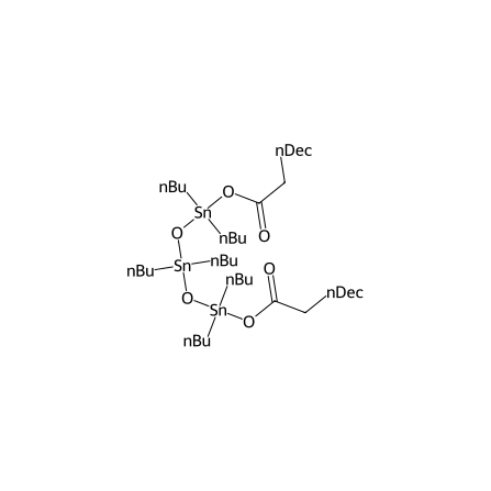 CCCCCCCCCCCC(=O)[O][Sn]([CH2]CCC)([CH2]CCC)[O][Sn]([CH2]CCC)([CH2]CCC)[O][Sn]([CH2]CCC)([CH2]CCC)[O]C(=O)CCCCCCCCCCC